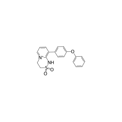 O=S1(=O)CC[n+]2cccc(-c3ccc(Oc4ccccc4)cc3)c2N1